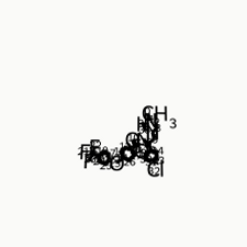 CN1CCN(CC(NS(=O)(=O)c2ccc(Oc3ccc(C(F)(F)F)cc3)cc2)c2ccc(Cl)cc2)CC1